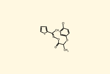 CC(=NOC(=O)C(C)Oc1ccc(Cl)cc1)c1cccs1